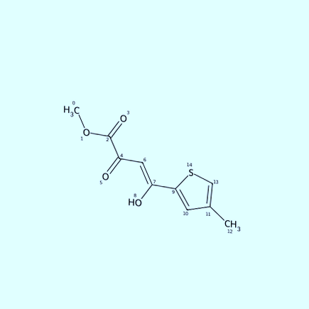 COC(=O)C(=O)C=C(O)c1cc(C)cs1